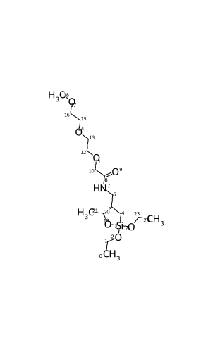 CCO[Si](CCCNC(=O)COCCOCCOC)(OCC)OCC